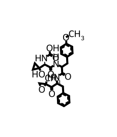 COc1ccc(CC(NC(=O)[C@@H](NC(=O)O)C2(O)CC2)C(=O)NC(Cc2ccccc2)C(=O)C2(C)CO2)cc1